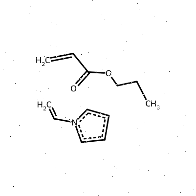 C=CC(=O)OCCC.C=Cn1cccc1